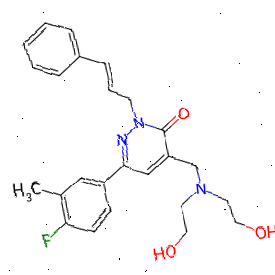 Cc1cc(-c2cc(CN(CCO)CCO)c(=O)n(CC=Cc3ccccc3)n2)ccc1F